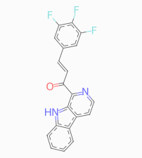 O=C(/C=C/c1cc(F)c(F)c(F)c1)c1nccc2c1[nH]c1ccccc12